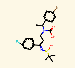 C[C@@H](c1ccc(Br)cc1)N(CC/C(=N\[S+]([O-])C(C)(C)C)c1ccc(F)cc1)C(=O)O